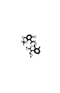 CO/N=C(/C(=O)OC)c1cccc(C)c1CO/N=C(\C)c1c(Cl)ccc(Cl)c1OC(F)(F)F